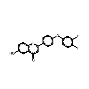 O=c1cc(-c2ccc(Oc3ccc(F)c(F)c3)cc2)oc2ccc(O)cc12